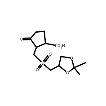 CC1(C)OCC(CS(=O)(=O)CC2C(=O)CCC2C(=O)O)O1